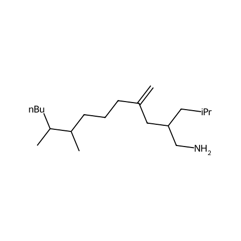 C=C(CCCC(C)C(C)CCCC)CC(CN)CC(C)C